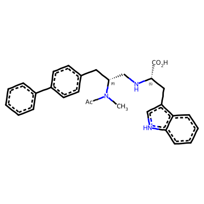 CC(=O)N(C)[C@@H](CN[C@@H](Cc1c[nH]c2ccccc12)C(=O)O)Cc1ccc(-c2ccccc2)cc1